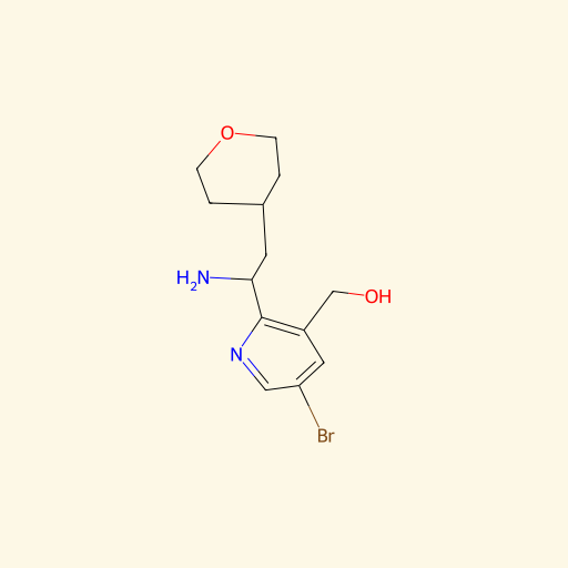 NC(CC1CCOCC1)c1ncc(Br)cc1CO